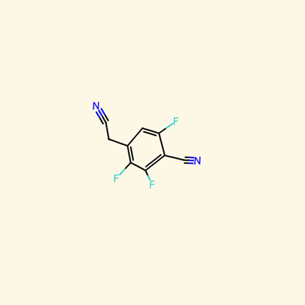 N#CCc1cc(F)c(C#N)c(F)c1F